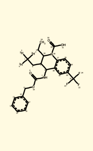 [2H]C([2H])([2H])CC1C(NC(=O)OCc2ccccc2)c2cc(C(F)(F)F)ccc2N(C(=O)O)C1CC